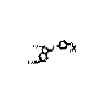 C=Cc1cc2c(cn1)c(COc1ccc(OC(F)(F)F)cc1)nn2C